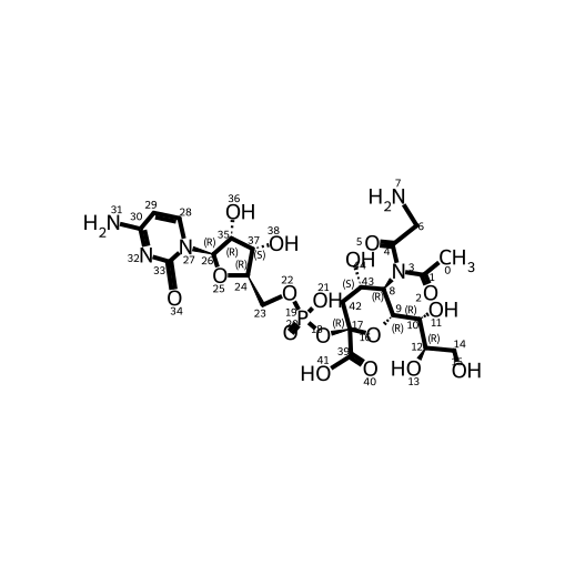 CC(=O)N(C(=O)CN)[C@H]1[C@H]([C@H](O)[C@H](O)CO)O[C@](OP(=O)(O)OC[C@H]2O[C@@H](n3ccc(N)nc3=O)[C@H](O)[C@@H]2O)(C(=O)O)C[C@@H]1O